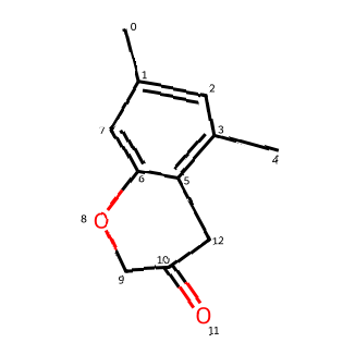 Cc1cc(C)c2c(c1)OCC(=O)C2